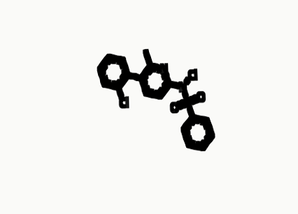 Cc1nc(N(Cl)S(=O)(=O)c2ccccc2)ccc1-c1ccccc1Cl